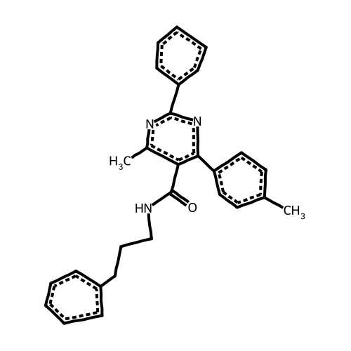 Cc1ccc(-c2nc(-c3ccccc3)nc(C)c2C(=O)NCCCc2ccccc2)cc1